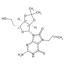 C=CCn1c(=O)n(C2O[C@H](CCO)[C@H]3OC(C)(C)O[C@@H]23)c2nc(N)[nH]c(=O)c21